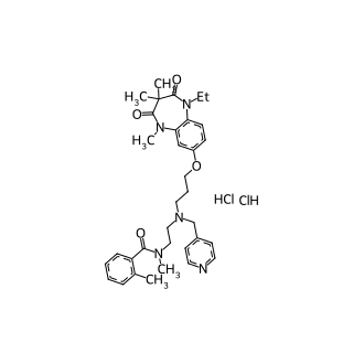 CCN1C(=O)C(C)(C)C(=O)N(C)c2cc(OCCCN(CCN(C)C(=O)c3ccccc3C)Cc3ccncc3)ccc21.Cl.Cl